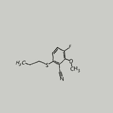 CCCSc1ccc(F)c(OC)c1C#N